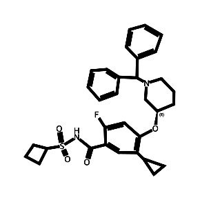 O=C(NS(=O)(=O)C1CCC1)c1cc(C2CC2)c(O[C@@H]2CCCN(C(c3ccccc3)c3ccccc3)C2)cc1F